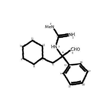 CNC(=N)NC(C=O)(CC1CCCCC1)c1ccccc1